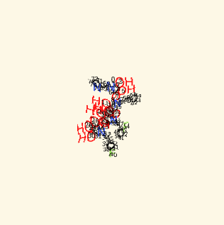 C[C@@H]1[C@@H](O)[C@H](O)[C@@H](OC[C@@H]2[C@@H](O)[C@H](O)[C@@H](O[C@@H]3[C@@H](O)[C@H](O)[C@@H](OC[C@@H]4[C@@H](O)[C@H](O)[C@@H](O)CN4CCCc4ccc(F)cc4)CN3CCCc3ccccc3F)CN2CCCc2ccccc2)CN1CCc1ccccn1